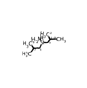 CC(C)C[SiH](N)CC(C)C